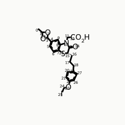 CC1OC(c2ccc3c(c2)N(CC(=O)O)C(=O)[C@H](CCCc2ccc(OCI)cc2)S3)O1